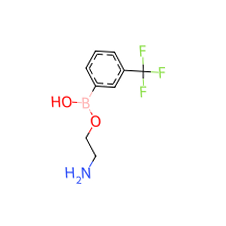 NCCOB(O)c1cccc(C(F)(F)F)c1